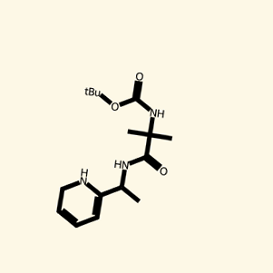 CC(NC(=O)C(C)(C)NC(=O)OC(C)(C)C)C1=CC=CCN1